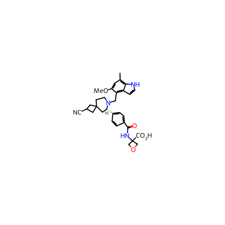 COc1cc(C)c2[nH]ccc2c1CN1CCC2(CC(C#N)C2)C[C@H]1c1ccc(C(=O)NC2(C(=O)O)COC2)cc1